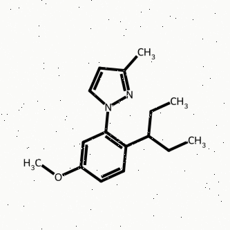 CCC(CC)c1ccc(OC)cc1-n1ccc(C)n1